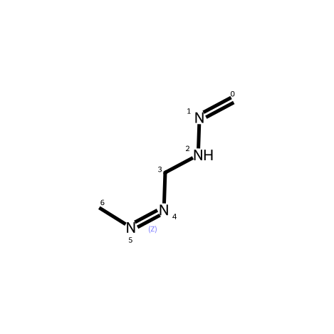 C=NNC/N=N\C